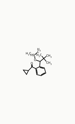 C[SiH](C)OC(c1ccccc1C(=O)C1CC1)C(C)(C)C